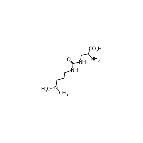 CN(C)CCCNC(=O)NCC(N)C(=O)O